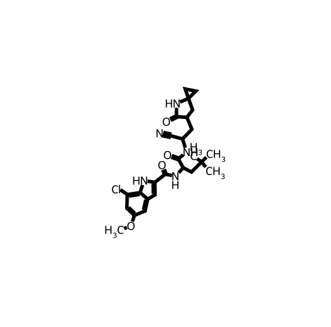 COc1cc(Cl)c2[nH]c(C(=O)NC(CC(C)(C)C)C(=O)NC(C#N)CC3CC4(CC4)NC3=O)cc2c1